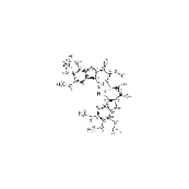 COc1cc2c(cc(C(=O)N3CCCN(C(=O)c4cc5c(OC)c(OC)c(OC)cc5n4C)CC3)n2C)c(OC)c1OC